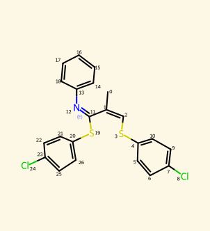 CC(=CSc1ccc(Cl)cc1)/C(=N\c1ccccc1)Sc1ccc(Cl)cc1